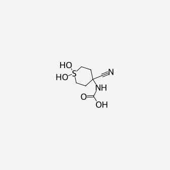 N#CC1(NC(=O)O)CCS(O)(O)CC1